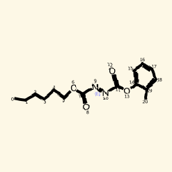 CCCCCCOC(=O)/N=N/C(=O)Oc1ccccc1C